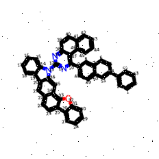 c1ccc(-c2ccc3cc(-c4nc(-n5c6ccccc6c6cc7ccc8c9ccccc9oc8c7cc65)nc5ccc6ccccc6c45)ccc3c2)cc1